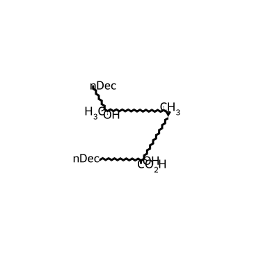 CCCCCCCCCCCCCCCCCCCCCCCCC(C(=O)O)[C@H](O)CCCCCCCCCCCCCCCC[C@H]1C[C@@H]1[C@@H](C)CCCCCCCCCCCCCCCCCC[C@H](O)[C@@H](C)CCCCCCCCCCCCCCCCCC